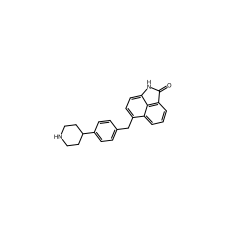 O=C1Nc2ccc(Cc3ccc(C4CCNCC4)cc3)c3cccc1c23